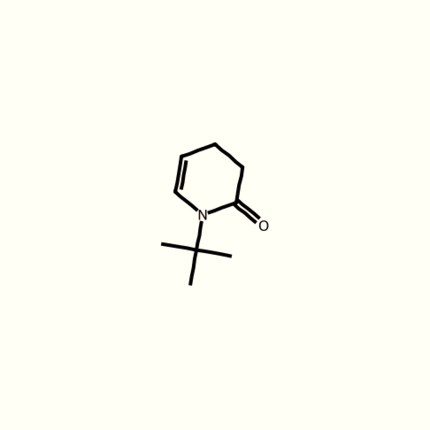 CC(C)(C)N1C=CCCC1=O